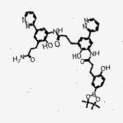 CC1(C)OB(c2ccc(O)c(CCC(=O)Nc3cc(-c4cccnn4)cc(CCC(=O)Nc4cc(-c5cccnn5)cc(CCC(N)=O)c4O)c3O)c2)OC1(C)C